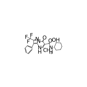 Cc1[nH]c2c(-c3ccccc3)c(C(F)(F)F)nn2c(=O)c1C(=O)N[C@H]1CCCC[C@H]1O